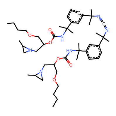 CCCCOCC(CN1CC1C)OC(=O)NC(C)(C)c1cccc(C(C)(C)N=C=NC(C)(C)c2cccc(C(C)(C)NC(=O)OC(COCCCC)CN3CC3C)c2)c1